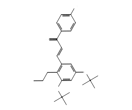 CCCc1c(/C=C/C(=O)c2ccc(O)cc2)cc(OC(C)(C)C)cc1OC(C)(C)C